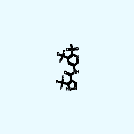 CS(=O)(=O)c1ncc(NC(=O)c2cn[nH]c2C(F)(F)F)cc1C(F)(F)F